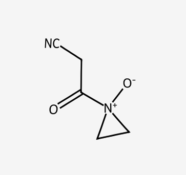 N#CCC(=O)[N+]1([O-])CC1